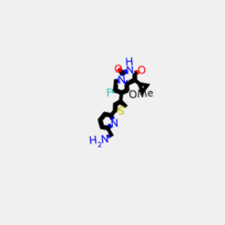 COc1c(-c2csc(-c3cccc(CN)n3)c2)c(F)cn2c(=O)[nH]c(=O)c(C3CC3)c12